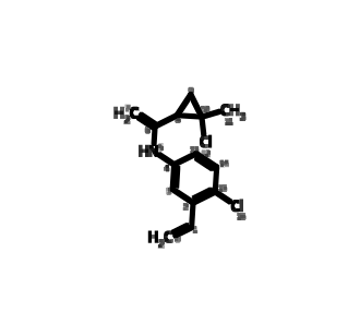 C=Cc1cc(NC(=C)C2CC2(C)Cl)ccc1Cl